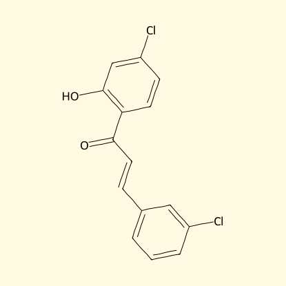 O=C(/C=C/c1cccc(Cl)c1)c1ccc(Cl)cc1O